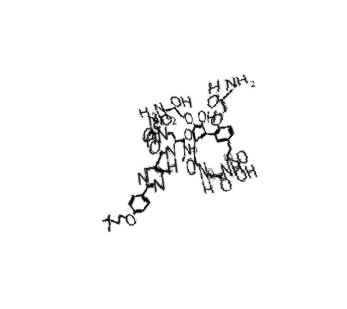 Cc1nc(-c2ccc(OCCC(C)(C)C)cc2)ncc1C(=O)NC(CNS(N)(=O)=O)C(=O)N(C)[C@@H]1C(=O)N[C@@H](C)C(=O)N[C@H](C(=O)O)Cc2ccc(OCC(O)CN)c(c2)-c2cc1cc(OCC(O)CN)c2O